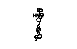 O=C(NC1CCC(CCN2CCN(c3cccc4sccc34)CC2)CC1F)c1ccco1